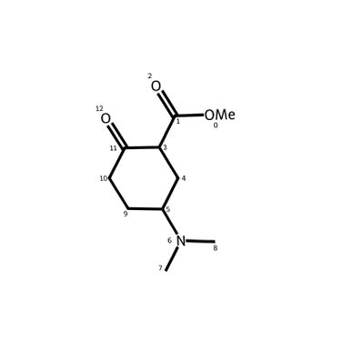 COC(=O)C1CC(N(C)C)CCC1=O